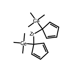 [CH3][Ge]([CH3])([CH3])[C]1([Zr][C]2([Ge]([CH3])([CH3])[CH3])C=CC=C2)C=CC=C1